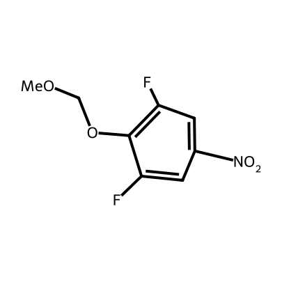 COCOc1c(F)cc([N+](=O)[O-])cc1F